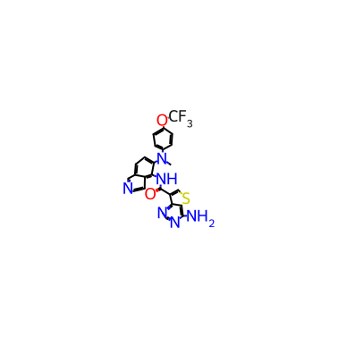 CN(c1ccc(OC(F)(F)F)cc1)c1ccc2cnccc2c1NC(=O)c1csc2c(N)ncnc12